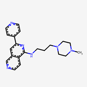 CN1CCN(CCCNc2nc(-c3ccncc3)cc3cnccc23)CC1